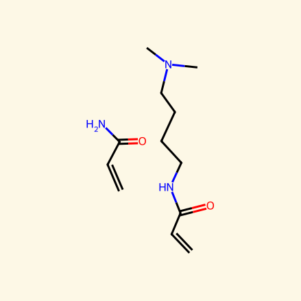 C=CC(=O)NCCCCN(C)C.C=CC(N)=O